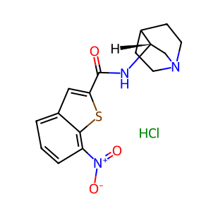 Cl.O=C(N[C@H]1CN2CCC1CC2)c1cc2cccc([N+](=O)[O-])c2s1